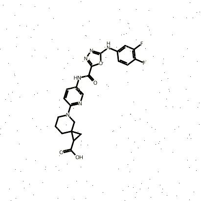 O=C(Nc1ccc(N2CCCC3(CC3C(=O)O)C2)nc1)c1nnc(Nc2ccc(F)c(F)c2)o1